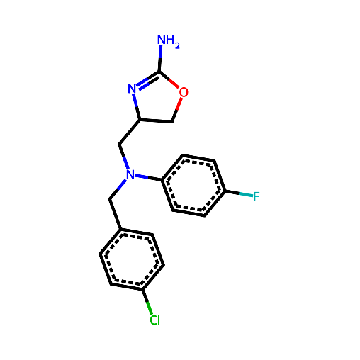 NC1=NC(CN(Cc2ccc(Cl)cc2)c2ccc(F)cc2)CO1